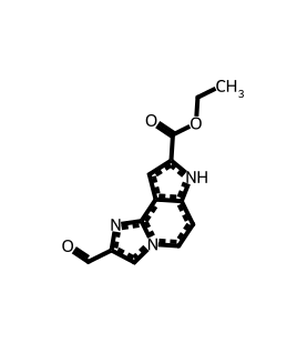 CCOC(=O)c1cc2c(ccn3cc(C=O)nc23)[nH]1